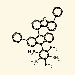 Bc1c(B)c(B)c(-c2c3ccccc3c(-c3cccc4oc5c(-c6ccccc6)cccc5c34)c3cc(-c4ccccc4)ccc23)c(B)c1B